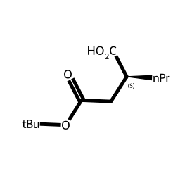 CCC[C@@H](CC(=O)OC(C)(C)C)C(=O)O